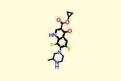 CC1CN(c2c(F)cc3c(=O)c(C(=O)OC4CC4)c[nH]c3c2F)CCN1